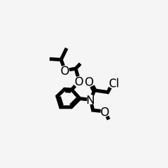 COCN(C(=O)CCl)c1ccccc1OC(C)OC(C)C